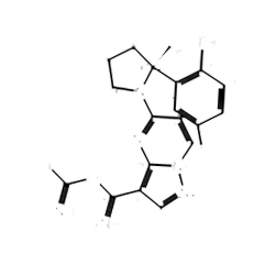 CC(C)(C)C(=N)OC(=N)c1cnn2ccc(N3CCC[C@]3(C)c3cc(F)ccc3F)nc12